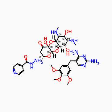 CN[C@@H]1[C@H](O)[C@H](NC)[C@H]2O[C@@]3(O)C(=O)C[C@@H](C)O[C@H]3O[C@@H]2[C@H]1O.COc1cc(Cc2cnc(N)nc2N)cc(OC)c1OC.NNC(=O)c1ccncc1